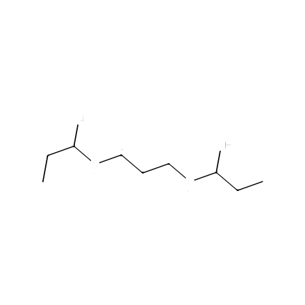 CCC(S)SCCCSC(S)CC